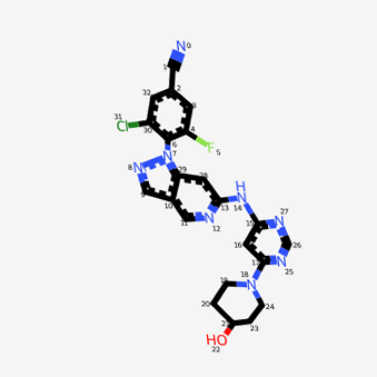 N#Cc1cc(F)c(-n2ncc3cnc(Nc4cc(N5CCC(O)CC5)ncn4)cc32)c(Cl)c1